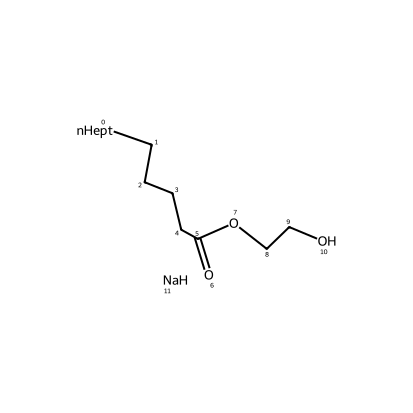 CCCCCCCCCCCC(=O)OCCO.[NaH]